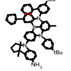 Cc1cc2c3c(c1)N(c1ccc(C(C)(C)C)cc1-c1ccccc1)c1ccc(-c4ccccc4)cc1B3c1ccc(N3c4ccc(N)cc4C4(C)CCCC34C)cc1N2c1ccc(C(C)(C)C)cc1